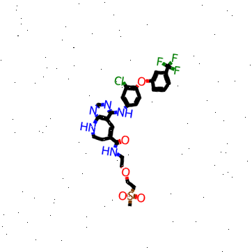 CS(=O)(=O)CCOCCNC(=O)C1=Cc2c(ncnc2Nc2ccc(Oc3cccc(C(F)(F)F)c3)c(Cl)c2)NCC1